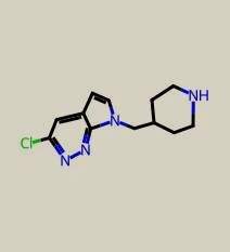 Clc1cc2ccn(CC3CCNCC3)c2nn1